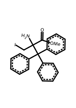 COC(=O)C(N)(CI)C(c1ccccc1)(c1ccccc1)c1ccccc1